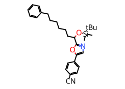 CC(C)(C)[Si](C)(C)OC(CCCCCCc1ccccc1)c1ncc(-c2ccc(C#N)cc2)o1